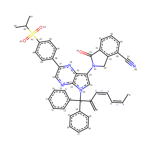 C=C(/C=C\C=C/C)C(c1ccccc1)(c1ccccc1)n1cc(N2Cc3c(C#N)cccc3C2=O)c2nc(-c3ccc(S(=O)(=O)C(C)C)cc3)cnc21